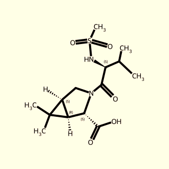 CC(C)[C@H](NS(C)(=O)=O)C(=O)N1C[C@H]2[C@@H]([C@H]1C(=O)O)C2(C)C